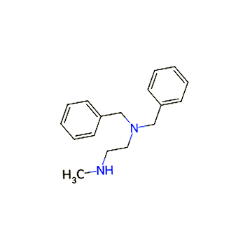 CNCCN(Cc1ccccc1)Cc1ccccc1